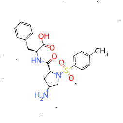 Cc1ccc(S(=O)(=O)N2C[C@@H](N)C[C@H]2C(=O)N[C@@H](Cc2ccccc2)C(=O)O)cc1